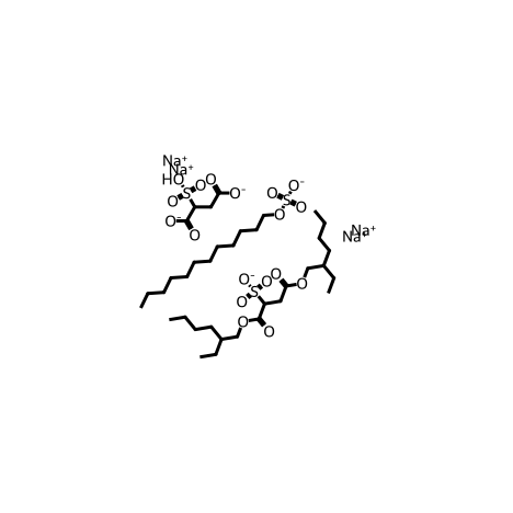 CCCCC(CC)COC(=O)CC(C(=O)OCC(CC)CCCC)S(=O)(=O)[O-].CCCCCCCCCCCCOS(=O)(=O)[O-].O=C([O-])CC(C(=O)[O-])S(=O)(=O)O.[Na+].[Na+].[Na+].[Na+]